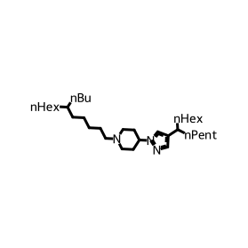 CCCCCCC(CCCC)CCCCCN1CCC(n2cc(C(CCCCC)CCCCCC)cn2)CC1